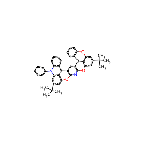 CC(C)(C)c1cc2c3c(c1)Oc1nc4c(cc1B3c1ccccc1O2)B1c2ccccc2N(c2ccccc2)c2cc(C(C)(C)C)cc(c21)O4